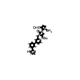 CCCCc1cn(-c2c(C=O)ccn2C)c(=O)n1Cc1cc(-c2cccc(-c3nnn[nH]3)c2)ccn1